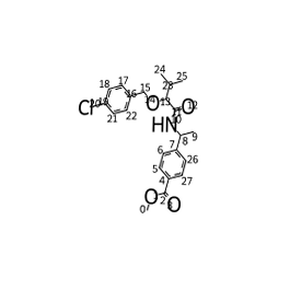 COC(=O)c1ccc(C(C)NC(=O)C(OCc2ccc(Cl)cc2)C(C)C)cc1